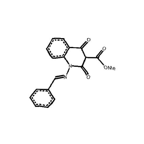 COC(=O)C1C(=O)c2ccccc2N(N=Cc2ccccc2)C1=O